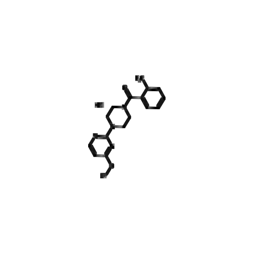 CC(C)Oc1ccnc(N2CCN(C(=O)c3ccccc3C(F)(F)F)CC2)n1.Cl